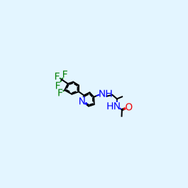 CC(=O)NC(C)CCNc1ccnc(-c2ccc(C(F)(F)F)c(F)c2)c1